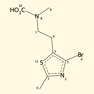 Cc1nc(Br)c(CCN(C)C(=O)O)s1